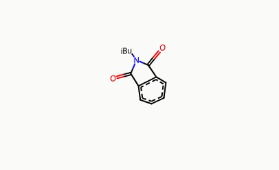 CCC(C)N1C(=O)c2ccccc2C1=O